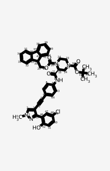 Cn1cc(C#Cc2ccc(NC(=O)[C@@H]3CN(C(=O)OC(C)(C)C)CCN3C(=O)OCC3c4ccccc4-c4ccccc43)cc2)c(-c2cc(Cl)ccc2O)n1